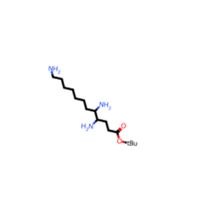 CC(C)(C)OC(=O)CCC(N)C(N)CCCCCCCN